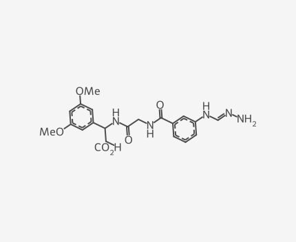 COc1cc(OC)cc(C(CC(=O)O)NC(=O)CNC(=O)c2cccc(NC=NN)c2)c1